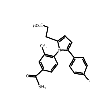 Cc1cc(C(N)=O)ccc1-n1c(CCC(=O)O)ccc1-c1ccc(I)cc1